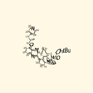 CC(C)(C)OC(=O)N(Cc1ccc(-c2nc3c(OCCCc4ccncc4)cccc3nc2-c2ccccc2)cc1)C(=O)OC(C)(C)C